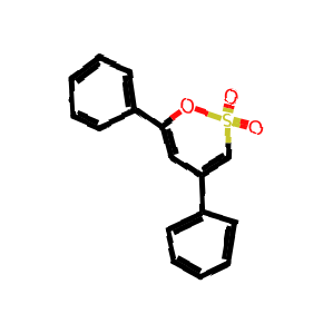 O=S1(=O)C=C(c2ccccc2)C=C(c2ccccc2)O1